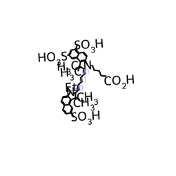 CC[N+]1=C(/C=C/C=C/C=C2/N(CCCCCC(=O)O)c3ccc4c(S(=O)(=O)O)cc(S(=O)(=O)O)cc4c3C2(C)C)C(C)(C)c2c1ccc1ccc(S(=O)(=O)O)cc21